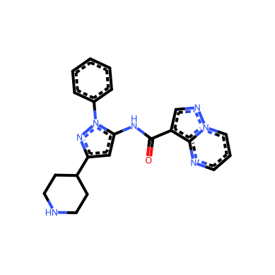 O=C(Nc1cc(C2CCNCC2)nn1-c1ccccc1)c1cnn2cccnc12